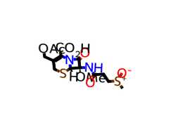 CO[C@@]1(NC(=O)CC[S+](C)[O-])C(=O)N2C(C(=O)O)=C(COC(C)=O)CS[C@H]21